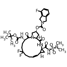 CN(C)S(=O)(=O)NC(=O)[C@@]12C[C@H]1/C=C\CCC(F)(F)CC[C@H](NC(=O)OC(C)(C)C)C(=O)N1C[C@H](OC(=O)N3Cc4cccc(F)c4C3)C[C@H]1C(=O)N2